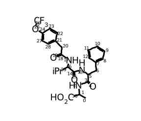 CC(NC(=O)C(Cc1ccccc1)NC(=O)C(NC(=O)Cc1ccc(OC(F)(F)F)cc1)C(C)C)C(=O)O